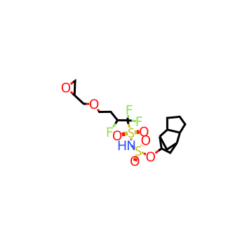 O=S(=O)(NS(=O)(=O)C(F)(F)C(F)CCOCC1CO1)OC1CC2CC1C1CCCC21